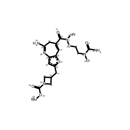 CCCN(OCCN(CC)C(N)=O)C(=O)C1=Cc2sc(CC3CN(C(=O)OC(C)(C)C)C3)cc2N=C(N)C1